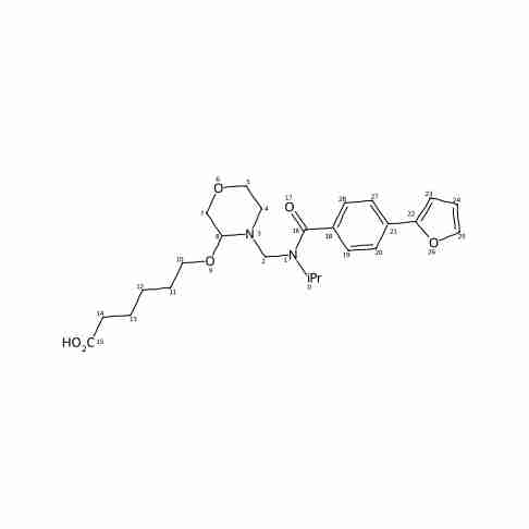 CC(C)N(CN1CCOCC1OCCCCCC(=O)O)C(=O)c1ccc(-c2ccco2)cc1